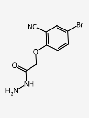 N#Cc1cc(Br)ccc1OCC(=O)NN